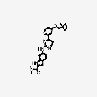 CN(C)C(=O)c1cc2ccc(Nc3nccc(-c4cc(OCC5(C)CCC5)ccn4)n3)cc2[nH]1